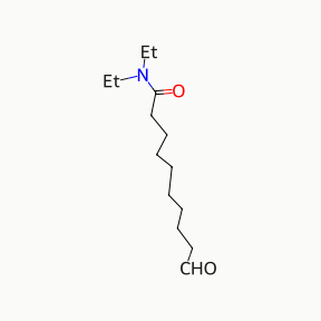 CCN(CC)C(=O)CCCCCCCCC=O